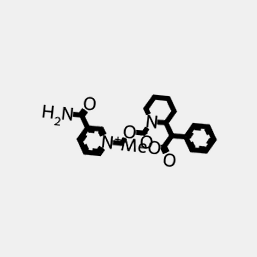 COC(=O)C(c1ccccc1)C1CCCCN1C(=O)OC[n+]1cccc(C(N)=O)c1